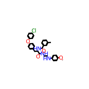 COc1ccc(NCCNC(=O)C(Cc2ccc(Oc3ccc(Cl)cc3)cc2)NC(=O)c2cccc(C)c2)cc1